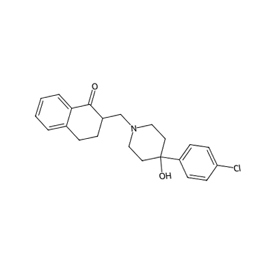 O=C1c2ccccc2CCC1CN1CCC(O)(c2ccc(Cl)cc2)CC1